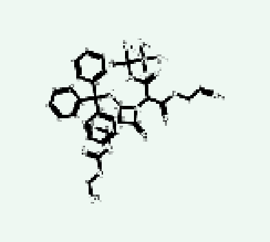 C=CCOC(=O)C(C(=O)OC(C)(Cl)[Si](C)(C)C)N1C(=O)[C@H](C(C)OC(=O)OCC(Cl)(Cl)Cl)[C@H]1SC(c1ccccc1)(c1ccccc1)c1ccccc1